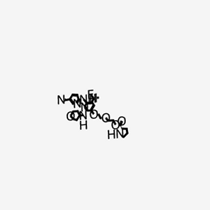 CN(F)c1cc(OCCOCCOC(=O)[C@@H]2CCCN2)c(NC2CCOCC2)nc1Nc1ccc(C#N)cn1